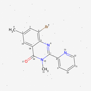 Cc1cc(Br)c2nc(-c3ccccn3)n(C)c(=O)c2c1